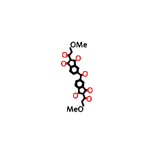 COCCC(=O)C1C(=O)c2ccc(C(=O)c3ccc4c(c3)C(=O)C(C(=O)CCOC)C4=O)cc2C1=O